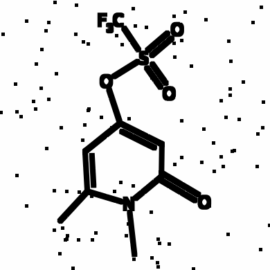 Cc1cc(OS(=O)(=O)C(F)(F)F)cc(=O)n1C